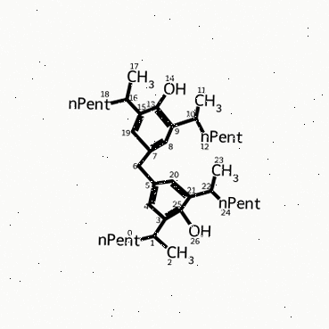 CCCCCC(C)c1cc(Cc2cc(C(C)CCCCC)c(O)c(C(C)CCCCC)c2)cc(C(C)CCCCC)c1O